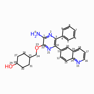 Nc1nc(-c2ccccc2)c(-c2ccc3ncccc3c2)nc1OCC1CCC(O)CC1